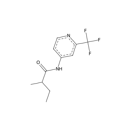 CCC(C)C(=O)Nc1ccnc(C(F)(F)F)c1